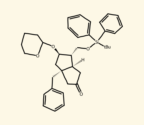 CC(C)(C)[Si](OC[C@@H]1[C@H]2CC(=O)C[C@@]2(Cc2ccccc2)C[C@H]1OC1CCCCO1)(c1ccccc1)c1ccccc1